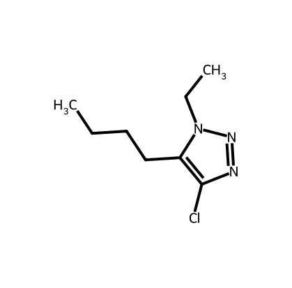 CCCCc1c(Cl)nnn1CC